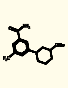 COC1CCCN(c2cc(C(N)=O)cc(C(F)(F)F)c2)C1